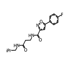 CC(C)CNC(=O)CCNC(=O)c1cc(-c2ccc(F)cc2)on1